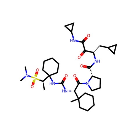 C[C@H](C1(NC(=O)N[C@H](C(=O)N2CCC[C@H]2C(=O)N[C@@H](CC2CC2)C(=O)C(=O)NC2CC2)C2(C)CCCCC2)CCCCC1)S(=O)(=O)N(C)C